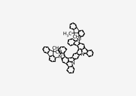 CC1(C)c2ccccc2-c2cccc(-n3c4ccccc4c4c5c6cc7c8c9c%10ccccc%10n(-c%10cccc%11c%10C(C)(C)c%10ccccc%10-%11)c9cc9c%10ccccc%10n(c7cc6n6c7ccccc7c(cc43)c56)c98)c21